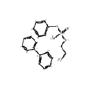 CCCOP(=O)(O)Oc1ccccc1.c1ccc(-c2ccccc2)cc1